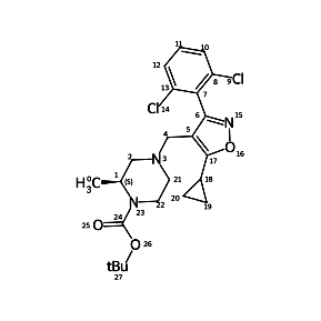 C[C@H]1CN(Cc2c(-c3c(Cl)cccc3Cl)noc2C2CC2)CCN1C(=O)OC(C)(C)C